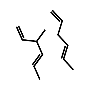 C=CC(C)/C=C/C.C=CC/C=C/C